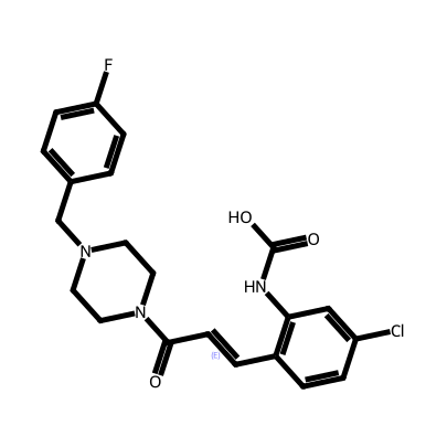 O=C(O)Nc1cc(Cl)ccc1/C=C/C(=O)N1CCN(Cc2ccc(F)cc2)CC1